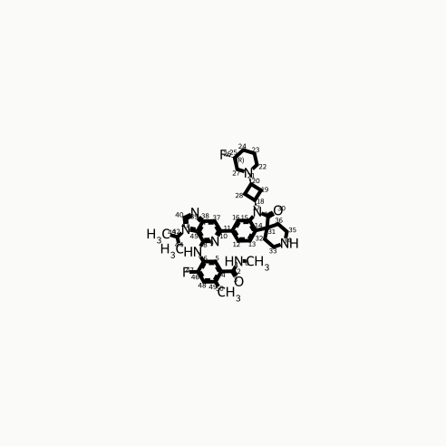 CNC(=O)c1cc(Nc2nc(-c3ccc4c(c3)N([C@H]3C[C@@H](N5CCC[C@@H](F)C5)C3)C(=O)C43CCNCC3)cc3ncn(C(C)C)c23)c(F)cc1C